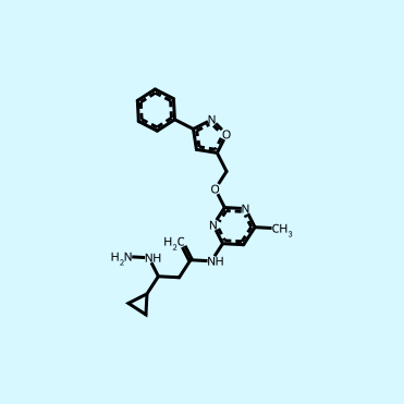 C=C(CC(NN)C1CC1)Nc1cc(C)nc(OCc2cc(-c3ccccc3)no2)n1